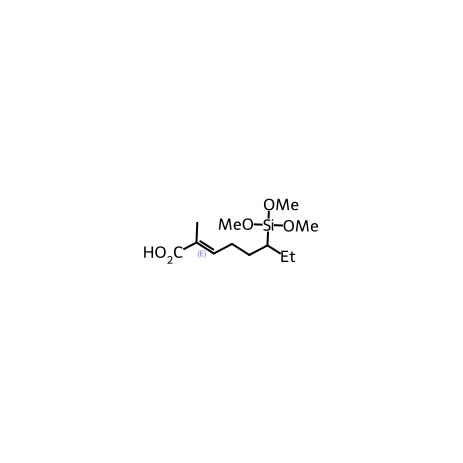 CCC(CC/C=C(\C)C(=O)O)[Si](OC)(OC)OC